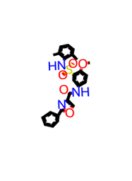 COc1ccc(NC(=O)c2coc(-c3ccccc3)n2)cc1S(=O)(=O)Nc1c(C)cccc1C